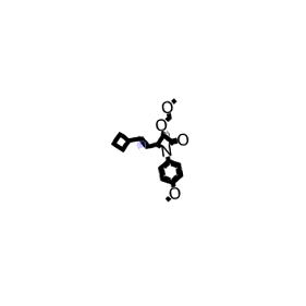 COCO[C@H]1C(=O)N(c2ccc(OC)cc2)C1/C=C/C1CCC1